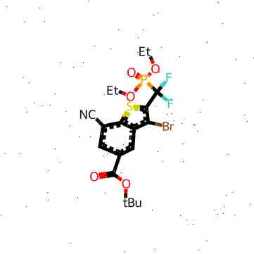 CCOP(=O)(OCC)C(F)(F)c1sc2c(C#N)cc(C(=O)OC(C)(C)C)cc2c1Br